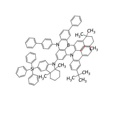 CC1CCC(C)(C)c2cc3c(cc21)N(c1ccc(C(C)(C)C)cc1C1=CC=C=C=C1)c1cc(N2c4ccc([Si](c5ccccc5)(c5ccccc5)c5ccccc5)cc4C4(C)CCCCC24C)cc2c1B3c1cc(-c3ccccc3)ccc1N2c1ccc(-c2ccccc2)cc1